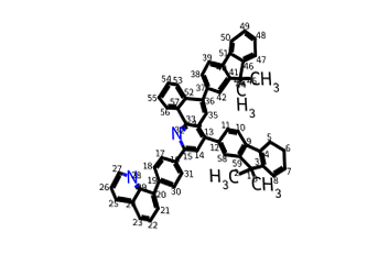 CC1(C)C2=C(CCC=C2)c2ccc(-c3cc(-c4ccc(-c5cccc6cccnc56)cc4)nc4c3cc(-c3ccc5c(c3)C(C)(C)c3ccccc3-5)c3ccccc34)cc21